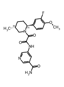 COc1ccc([C@@H]2CC[C@@H](C)CN2C(=O)C(=O)Nc2cncc(C(N)=O)c2)cc1F